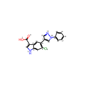 O=C(O)c1c[nH]c2cc(Cl)c(-c3cnn(-c4ccccc4)c3)cc12